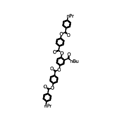 CCCCC(=O)c1cc(OC(=O)c2ccc(OC(=O)c3ccc(CCC)cc3)cc2)ccc1OC(=O)c1ccc(OC(=O)c2ccc(CCC)cc2)cc1